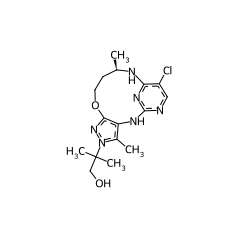 Cc1c2c(nn1C(C)(C)CO)OCC[C@@H](C)Nc1nc(ncc1Cl)N2